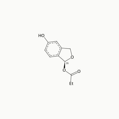 CCC(=O)O[C@@H]1OCc2cc(O)ccc21